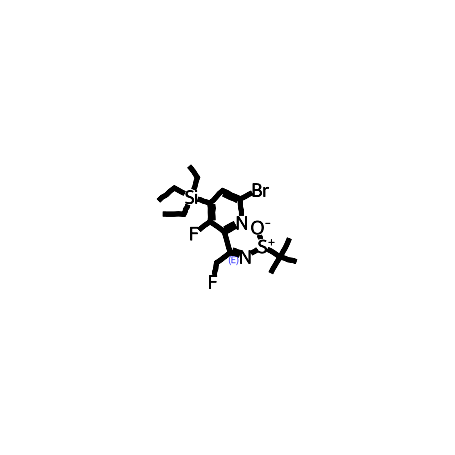 CC[Si](CC)(CC)c1cc(Br)nc(/C(CF)=N\[S+]([O-])C(C)(C)C)c1F